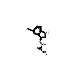 NC(=S)N/N=C1\CNc2ccc(Br)cc21